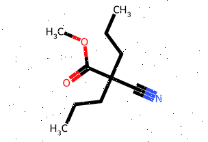 CCCC(C#N)(CCC)C(=O)OC